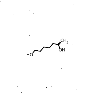 C=C(O)CCCCCO